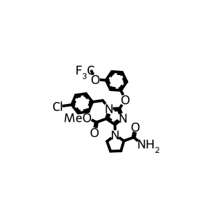 COC(=O)c1c(N2CCCC2C(N)=O)nc(Oc2cccc(OC(F)(F)F)c2)n1Cc1ccc(Cl)cc1